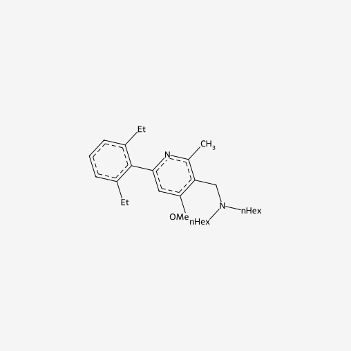 CCCCCCN(CCCCCC)Cc1c(OC)cc(-c2c(CC)cccc2CC)nc1C